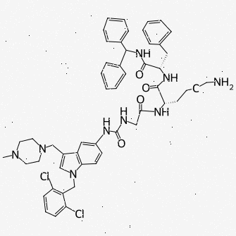 CN1CCN(Cc2cn(Cc3c(Cl)cccc3Cl)c3ccc(NC(=O)NCC(=O)N[C@@H](CCCCN)C(=O)N[C@@H](Cc4ccccc4)C(=O)NC(c4ccccc4)c4ccccc4)cc23)CC1